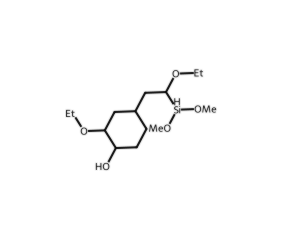 CCOC1CC(CC(OCC)[SiH](OC)OC)CCC1O